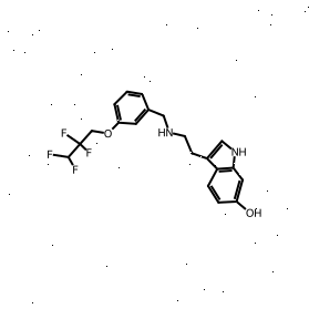 Oc1ccc2c(CCNCc3cccc(OCC(F)(F)C(F)F)c3)c[nH]c2c1